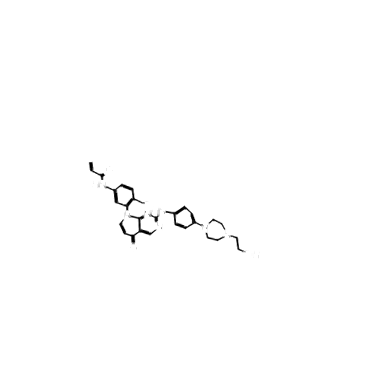 C=CC(=O)Nc1ccc(F)c(-n2ccc(=O)c3cnc(Nc4ccc(N5CCN(CCO)CC5)cc4)nc32)c1